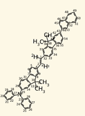 [2H]/C(=C(/[2H])c1ccc2c(c1)C(C)(C)c1cc(N(c3ccccc3)c3ccccc3)ccc1-2)c1ccc2c(c1)C(C)(C)c1cc(-c3ccc4ccccc4c3)ccc1-2